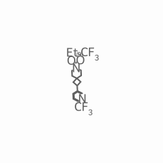 CC[C@@H](OC(=O)N1CCC2(CC1)CC(c1ccc(C(F)(F)F)nc1)C2)C(F)(F)F